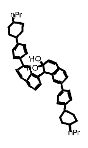 CCCC1CCC(c2ccc(-c3ccc4c(c3)C(c3cccc5ccc(-c6ccc(C7CCC(CCC)CC7)cc6)cc35)C(O)(O)C=C4)cc2)CC1